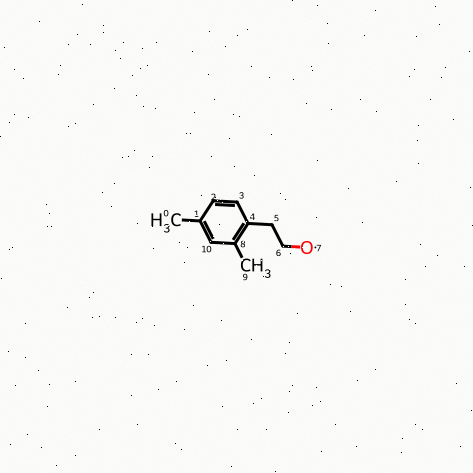 Cc1ccc(CC[O])c(C)c1